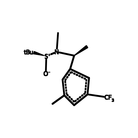 Cc1cc([C@H](C)N(C)[S@@+]([O-])C(C)(C)C)cc(C(F)(F)F)c1